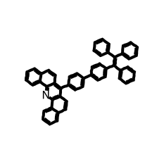 c1ccc(C(=C(c2ccccc2)c2ccc(-c3ccc(-c4c5ccc6ccccc6c5nc5c4ccc4ccccc45)cc3)cc2)c2ccccc2)cc1